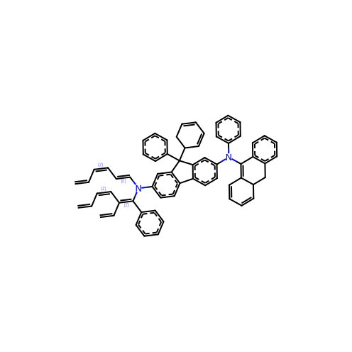 C=C/C=C\C=C\N(/C(=C(C=C)\C=C/C=C)c1ccccc1)c1ccc2c(c1)C(c1ccccc1)(C1C=CC=CC1)c1cc(N(C3=C4C=CC=CC4Cc4ccccc43)c3ccccc3)ccc1-2